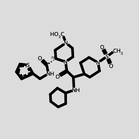 CS(=O)(=O)N1CCC(C(NC2CCCCC2)C(=O)N2CCN(C(=O)O)C[C@H]2C(=O)NCc2cccs2)CC1